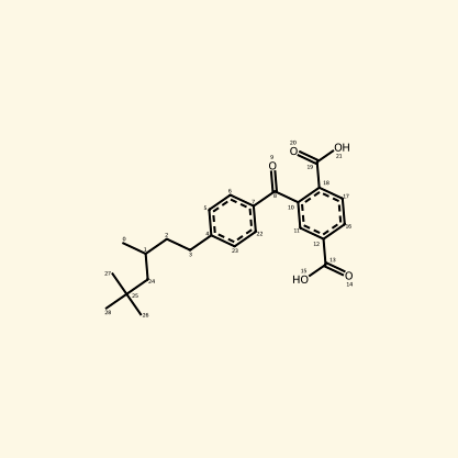 CC(CCc1ccc(C(=O)c2cc(C(=O)O)ccc2C(=O)O)cc1)CC(C)(C)C